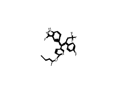 CCC[C@H](C)Oc1ccc(/C(=C(/CC(F)(F)F)c2ccc(F)cc2)c2ccc3[nH]nc(F)c3c2)cn1